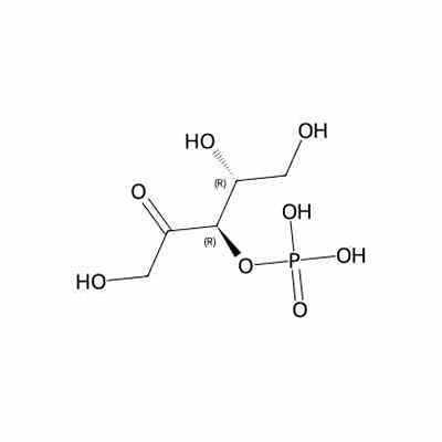 O=C(CO)[C@H](OP(=O)(O)O)[C@H](O)CO